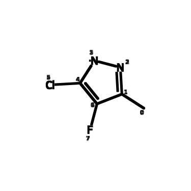 CC1=N[N]C(Cl)=C1F